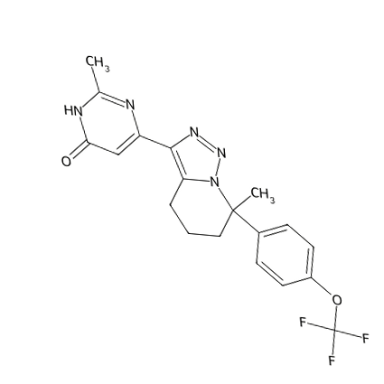 Cc1nc(-c2nnn3c2CCCC3(C)c2ccc(OC(F)(F)F)cc2)cc(=O)[nH]1